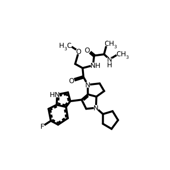 CNC(C)C(=O)NC(COC)C(=O)N1CCC2C1=C(c1c[nH]c3cc(F)ccc13)CN2C1CCCC1